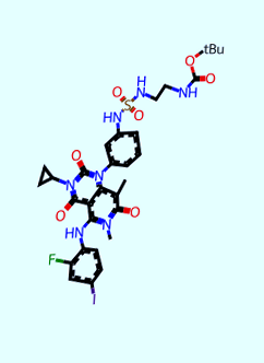 Cc1c(=O)n(C)c(Nc2ccc(I)cc2F)c2c(=O)n(C3CC3)c(=O)n(-c3cccc(NS(=O)(=O)NCCNC(=O)OC(C)(C)C)c3)c12